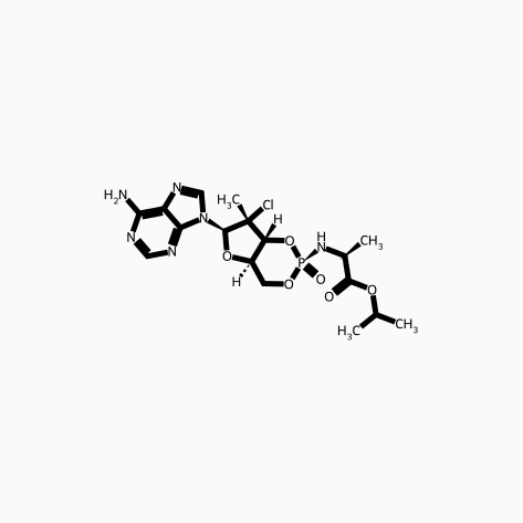 CC(C)OC(=O)[C@H](C)N[P@@]1(=O)OC[C@H]2O[C@@H](n3cnc4c(N)ncnc43)[C@](C)(Cl)[C@@H]2O1